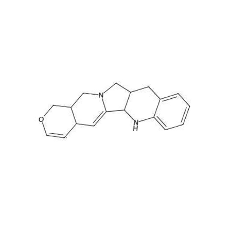 [C]1=COCC2CN3CC4Cc5ccccc5NC4C3=CC12